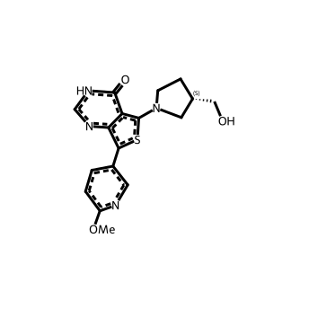 COc1ccc(-c2sc(N3CC[C@H](CO)C3)c3c(=O)[nH]cnc23)cn1